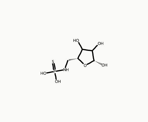 OC1C(O)[C@@H](CNP(O)(O)=S)O[C@H]1O